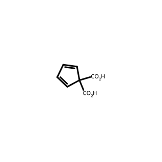 O=C(O)C1(C(=O)O)C=CC=C1